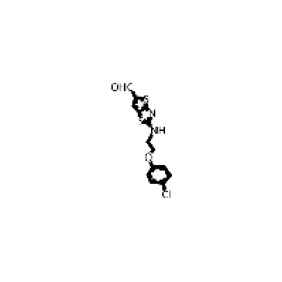 O=Cc1cc2sc(NCCOc3ccc(Cl)cc3)nc2s1